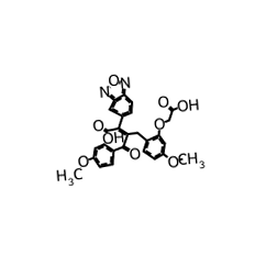 COc1ccc(C(=O)C(Cc2ccc(OC)cc2OCC(=O)O)=C(C(=O)O)c2ccc3nonc3c2)cc1